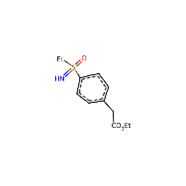 CCOC(=O)Cc1ccc(S(=N)(=O)CC)cc1